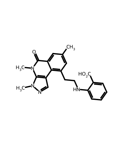 Cc1cc(CCNc2ccccc2C(=O)O)c2c(c1)c(=O)n(C)c1c2cnn1C